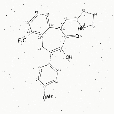 COc1ccc(C2=C(O)C(=O)N(CC3CCCN3)c3cccc(C(F)(F)F)c3C2)cc1